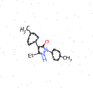 CCc1[nH]n(-c2ccc(C)cc2)c(=O)c1-c1ccc(C)cc1